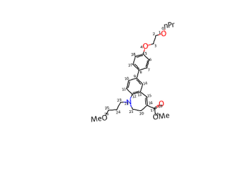 CCCOCCOc1ccc(-c2ccc3c(c2)C=C(C(=O)OC)CCN3CCCOC)cc1